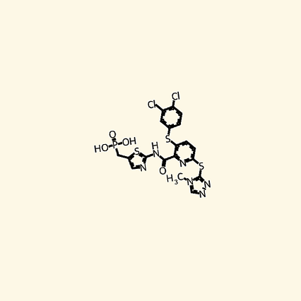 Cn1cnnc1Sc1ccc(Sc2ccc(Cl)c(Cl)c2)c(C(=O)Nc2ncc(CP(=O)(O)O)s2)n1